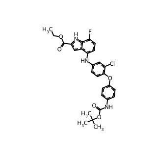 CCOC(=O)c1cc2c(Nc3ccc(Oc4ccc(NC(=O)OC(C)(C)C)cc4)c(Cl)c3)ccc(F)c2[nH]1